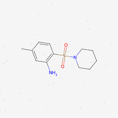 Cc1ccc(S(=O)(=O)N2CCCCC2)c(N)c1